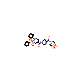 O=C(C1CCN(C(=O)[C@@H]2CC[C@H](c3ccccc3)N(S(=O)(=O)c3ccccc3)C2)CC1)N1CCS(=O)(=O)CC1